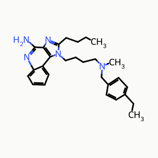 CCCCc1nc2c(N)nc3ccccc3c2n1CCCCN(C)Cc1ccc(CC)cc1